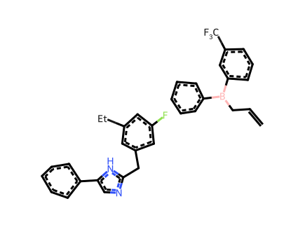 C=CCB(c1ccccc1)c1cccc(C(F)(F)F)c1.CCc1cc(F)cc(Cc2ncc(-c3ccccc3)[nH]2)c1